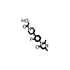 Cc1cc(=O)n(-c2ccc(C3=CCN(C(=O)CO)CC3)c(F)c2)c(C)n1